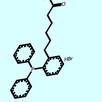 Br.O=C(O)CCCCCc1ccccc1P(c1ccccc1)c1ccccc1